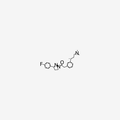 CN(C)CC[CH]c1cccc(CC(=O)N2CCC(c3ccc(F)cc3)=N2)c1